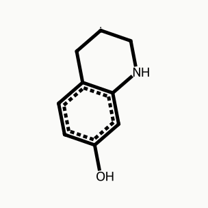 Oc1ccc2c(c1)NC[CH]C2